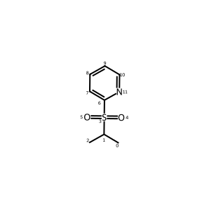 CC(C)S(=O)(=O)c1ccccn1